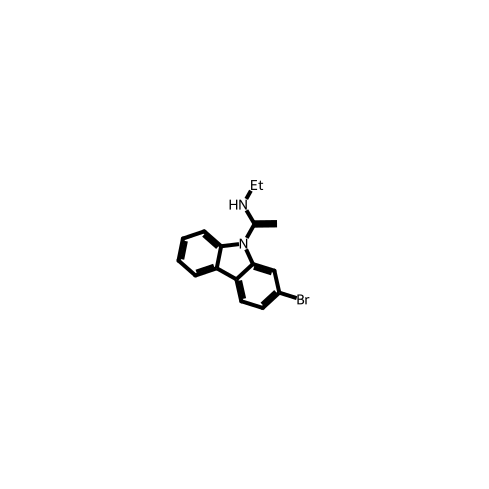 C=C(NCC)n1c2ccccc2c2ccc(Br)cc21